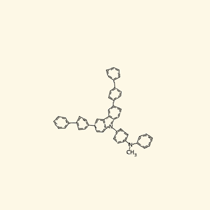 CN(c1ccccc1)c1ccc(-n2c3ccc(-c4ccc(-c5ccccc5)cc4)cc3c3cc(-c4ccc(-c5ccccc5)cc4)ccc32)cc1